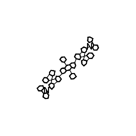 c1ccc(-c2c3ccc(-c4ccc5c(c4)C4(c6ccccc6-c6ccccc64)c4cc(-n6c7ccccc7c7ccccc76)ccc4-5)cc3c(-c3ccccc3)c3ccc(-c4ccc5c(c4)C4(c6ccccc6-c6ccccc64)c4cc(-n6c7ccccc7c7ccccc76)ccc4-5)cc23)cc1